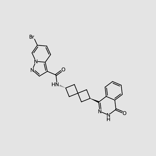 O=C(N[C@H]1CC2(C1)C[C@H](c1n[nH]c(=O)c3ccccc31)C2)c1cnn2cc(Br)ccc12